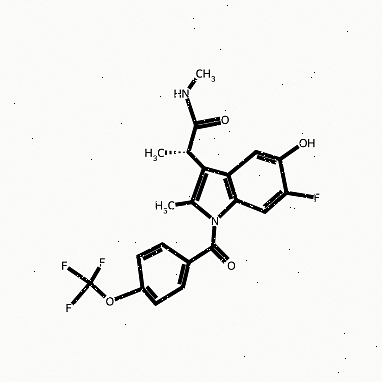 CNC(=O)[C@@H](C)c1c(C)n(C(=O)c2ccc(OC(F)(F)F)cc2)c2cc(F)c(O)cc12